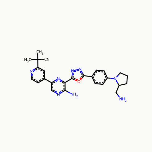 CC(C)(C#N)c1cc(-c2cnc(N)c(-c3nnc(-c4ccc(N5CCCC5CN)cc4)o3)n2)ccn1